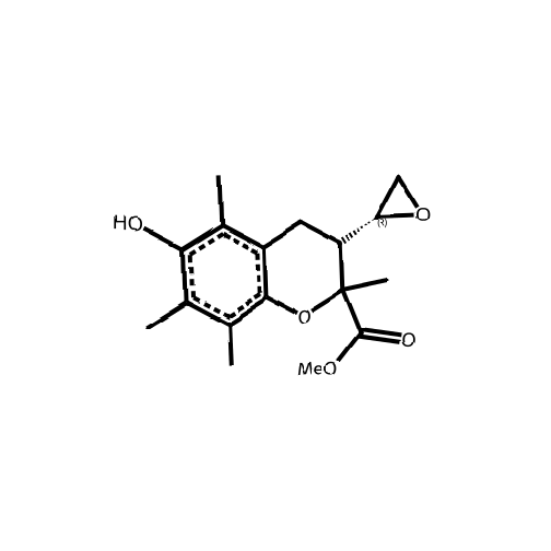 COC(=O)C1(C)Oc2c(C)c(C)c(O)c(C)c2CC1[C@@H]1CO1